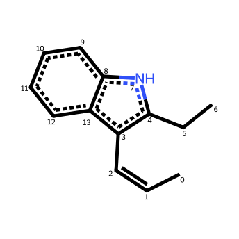 C/C=C\c1c(CC)[nH]c2ccccc12